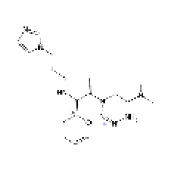 C=C(C(NCCCn1ccnc1)[C@@H]1CCC=CO1)N(CCN(C)C)/N=N\N